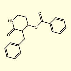 O=C(ON1CCNC(=O)C1Cc1ccccc1)c1ccccc1